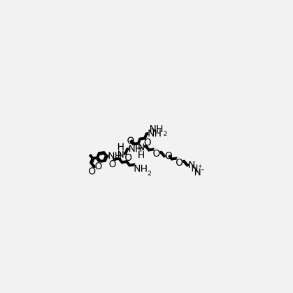 Cc1cc(=O)oc2cc(NC(=O)C(CCCCN)NC(=O)CNC(=O)C(CCCNN)NC(=O)CCOCCOCCOCCN=[N+]=[N-])ccc12